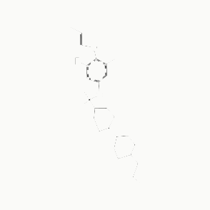 C/C=C/Oc1c(C)cc(OC(C)(F)C2CCC(C3CCC(CCC)CC3)CC2)cc1F